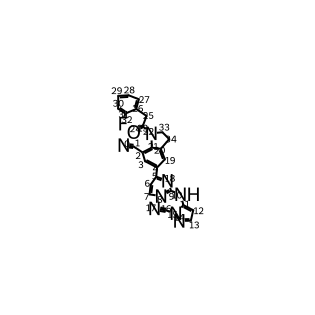 N#Cc1cc(-c2ccnc(Nc3ccnn3C#N)n2)cc2c1N(C(=O)Cc1ccccc1F)CC2